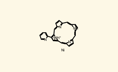 [Ni].[O-][NH+]1C2=CC(c3ccccn3)=C1C=C1C=CC(=N1)C=c1ccc([nH]1)=CC1=NC(=C2)C=C1